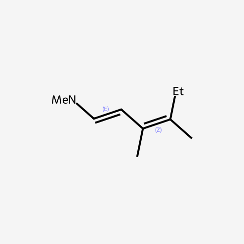 CC/C(C)=C(C)\C=C\NC